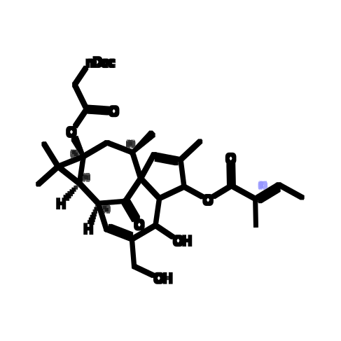 C/C=C(\C)C(=O)OC1C(C)=CC23C(=O)[C@@H](C=C(CO)C(O)C12)[C@H]1C(C)(C)[C@]1(OC(=O)CCCCCCCCCCC)C[C@H]3C